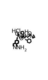 Cl.Nc1nccc2cc(CNC(=O)[C@@H]3CCCN3C(=O)[C@@H](CC3CCCCC3)NCC(=O)N3CCC3)ccc12